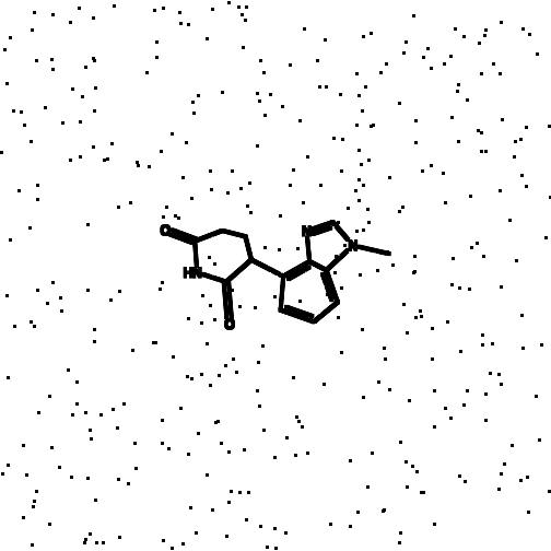 Cn1cnc2c(C3CCC(=O)NC3=O)cccc21